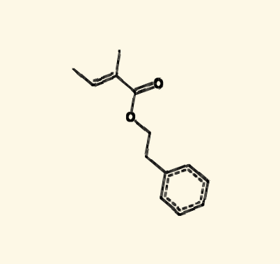 CC=C(C)C(=O)OCCc1ccccc1